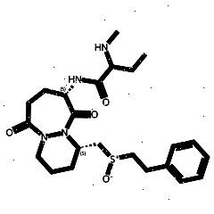 CCC(NC)C(=O)N[C@H]1CCC(=O)N2CCC[C@@H](C[S+]([O-])CCc3ccccc3)N2C1=O